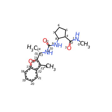 CNC(=O)C1CCCC1NC(=O)N[C@@H](C)c1oc2ccccc2c1C